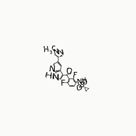 Cn1cc(-c2cnc3[nH]cc(C(=O)c4c(F)ccc(NS(=O)(=O)C5CC5)c4F)c3c2)cn1